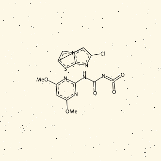 COc1cc(OC)nc(NC(=O)N=S(=O)=O)n1.Clc1nc2sc3cn2c1-3